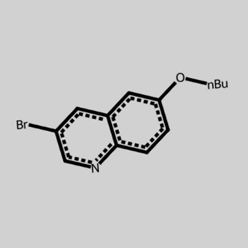 CCCCOc1ccc2ncc(Br)cc2c1